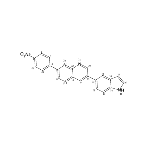 O=[N+]([O-])c1ccc(-c2cnc3cc(-c4ccc5[nH]ccc5c4)cnc3n2)cc1